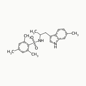 Cc1cc(C)c(S(=O)(=O)NC(C)Cc2c[nH]c3cc(C)ccc23)c(C)c1